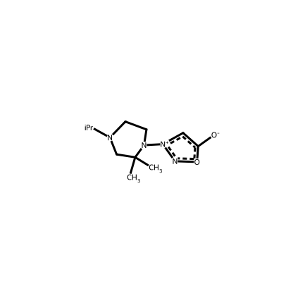 CC(C)N1CCN([n+]2cc([O-])on2)C(C)(C)C1